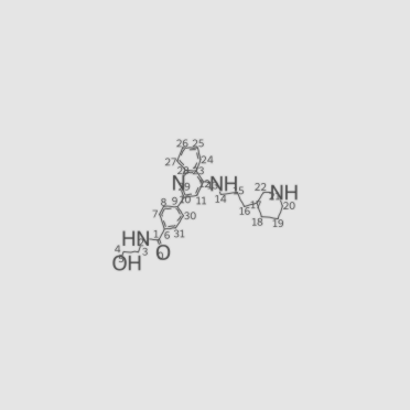 O=C(NCCO)c1ccc(-c2cc(NCCCC3CCCNC3)c3ccccc3n2)cc1